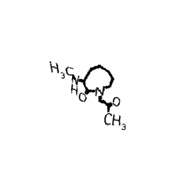 CNC1CCCCCN(CC(C)=O)C1=O